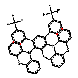 CCc1c(N2c3ccccc3Sc3ccccc32)c(-c2cccc(C(F)(F)F)c2)cc(-c2cccc(C(F)(F)F)c2)c1N1c2ccccc2Sc2ccccc21